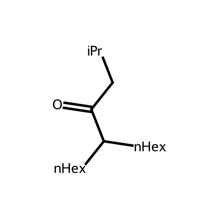 CCCCCCC(CCCCCC)C(=O)CC(C)C